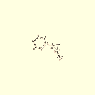 CC(=O)[C@@H]1C[C@H]1c1ccccc1